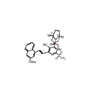 COc1cc(/C=C/c2nc(S(C)(=O)=O)nc(N3C[C@H]4CC[C@@H](C3)N4C(=O)OC(C)(C)C)c2C#N)c2ccccc2c1